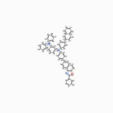 c1ccc(-c2nc3c(ccc4cc(-c5ccc(N(c6ccc(-c7ccc8ccccc8c7)cc6)c6ccc7c8ccccc8n(-c8ccccc8)c7c6)cc5)ccc43)o2)cc1